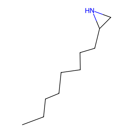 CCCCCCCCC1CN1